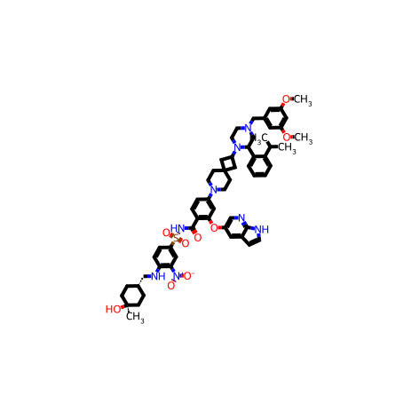 COc1cc(CN2CCN(C3CC4(CCN(c5ccc(C(=O)NS(=O)(=O)c6ccc(NC[C@H]7CC[C@](C)(O)CC7)c([N+](=O)[O-])c6)c(Oc6cnc7[nH]ccc7c6)c5)CC4)C3)C(c3ccccc3C(C)C)C2)cc(OC)c1